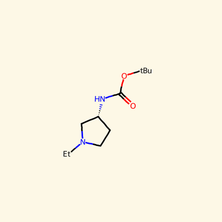 CCN1CC[C@@H](NC(=O)OC(C)(C)C)C1